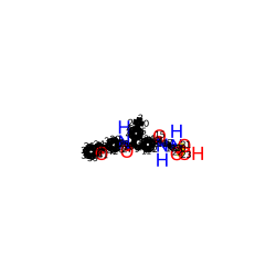 CC(C)(C)c1ccc(C(Cc2ccc(C(=O)NCCNS(=O)(=O)O)cc2)C(=O)Nc2ccc(-c3cc4ccccc4o3)cc2)cc1